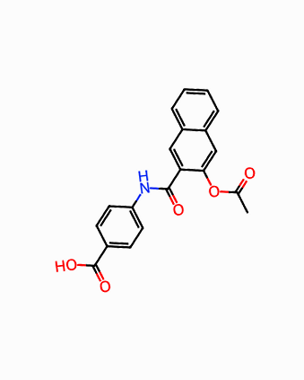 CC(=O)Oc1cc2ccccc2cc1C(=O)Nc1ccc(C(=O)O)cc1